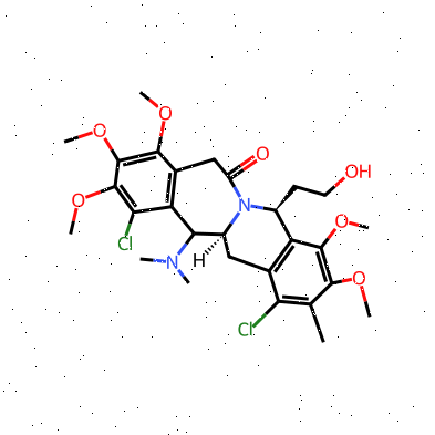 COc1c(C)c(Cl)c2c(c1OC)[C@H](CCO)N1C(=O)Cc3c(OC)c(OC)c(OC)c(Cl)c3C(N(C)C)[C@@H]1C2